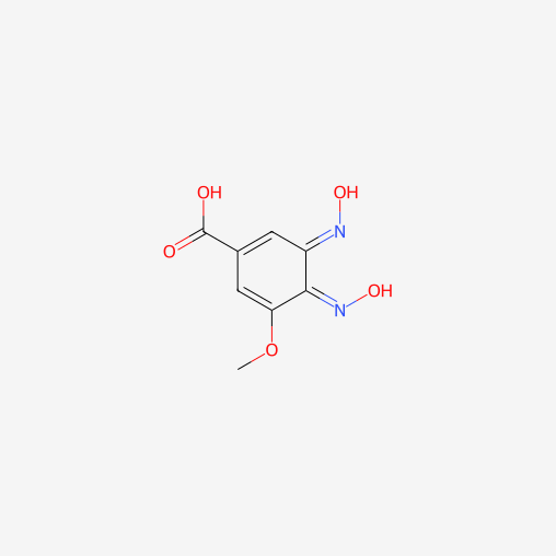 COC1=CC(C(=O)O)=CC(=N\O)/C1=N\O